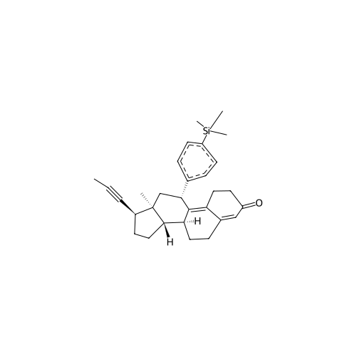 CC#C[C@@H]1CC[C@H]2[C@@H]3CCC4=CC(=O)CCC4=C3[C@@H](c3ccc([Si](C)(C)C)cc3)C[C@]12C